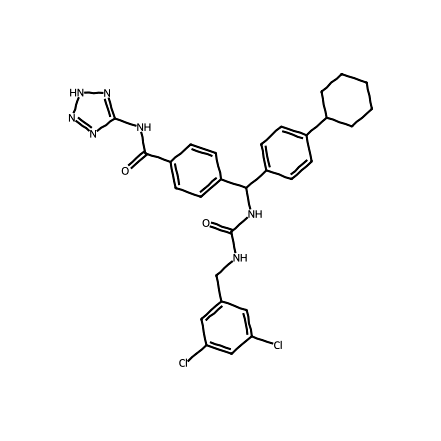 O=C(NCc1cc(Cl)cc(Cl)c1)NC(c1ccc(C(=O)Nc2nn[nH]n2)cc1)c1ccc(C2CCCCC2)cc1